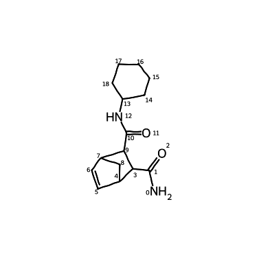 NC(=O)C1C2C=CC(C2)C1C(=O)NC1CCCCC1